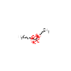 CCCCCOC(=O)CC(O)(CC(=O)OCCCCC)C(=O)O